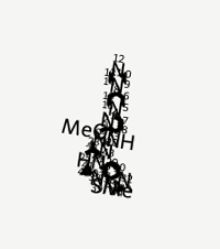 COc1nc(N2CCC(N3CCN(C)CC3)CC2)ccc1Nc1ncc(C)c(Nc2ccc3nccnc3c2N(SC)C2CC2)n1